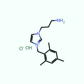 Cc1cc(C)c(C[n+]2ccn(CCCN)c2)c(C)c1.Cl.[Cl-]